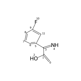 C=C(O)C(=N)c1cccc(F)c1